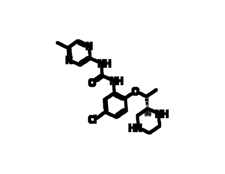 Cc1cnc(NC(=O)Nc2cc(Cl)ccc2OC(C)[C@H]2CNCCN2)cn1